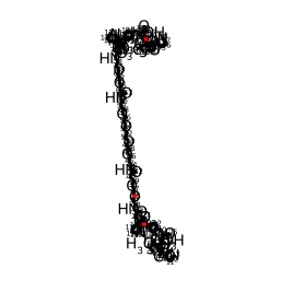 CC1(C)SCN(S(=O)(=O)c2cccnc2)[C@@H]1C(=O)N[C@@H](Cc1ccc(-n2c(=O)n(CC(=O)NCCOCCOCCC(=O)NCCCOCCOCCCOCCOCCCNC(=O)CCOCCOCCNC(=O)Cn3c(=O)n(-c4ccc(C[C@H](NC(=O)[C@H]5N(S(=O)(=O)c6cccnc6)CSC5(C)C)C(=O)O)cc4)c4ncccc43)c3cccnc32)cc1)C(=O)O